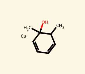 CC1C=CC=CC1(C)O.[Cu]